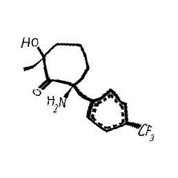 C[C@@]1(O)CCC[C@](N)(c2ccc(C(F)(F)F)cc2)C1=O